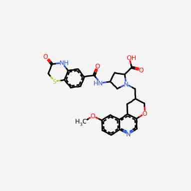 COc1ccc2ncc3c(c2c1)CC(CN1CC(NC(=O)c2ccc4c(c2)NC(=O)CS4)CC1C(=O)O)CO3